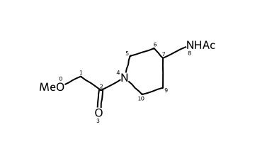 COCC(=O)N1CCC(NC(C)=O)CC1